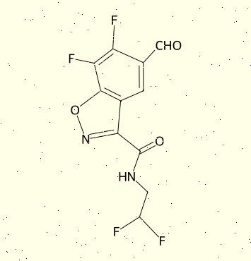 O=Cc1cc2c(C(=O)NCC(F)F)noc2c(F)c1F